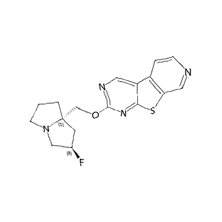 F[C@H]1CN2CCC[C@@]2(COc2ncc3c(n2)sc2cnccc23)C1